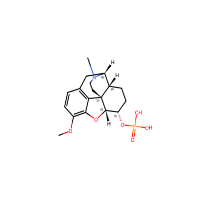 COc1ccc2c3c1O[C@H]1[C@@H](OP(=O)(O)O)CC[C@H]4[C@@H](C2)N(C)CC[C@@]341